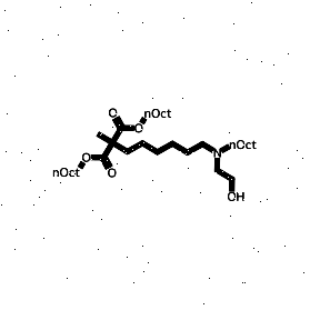 CCCCCCCCOC(=O)C(C)(CCCCCCN(CCO)CCCCCCCC)C(=O)OCCCCCCCC